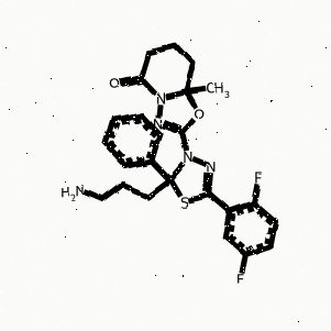 CC12CCCC(=O)N1N=C(N1N=C(c3cc(F)ccc3F)SC1(CCCN)c1ccccc1)O2